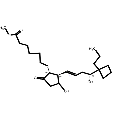 CCCC1([C@H](O)C/C=C/[C@H]2C(O)CC(=O)[C@@H]2CCCCCCC(=O)OC)CCC1